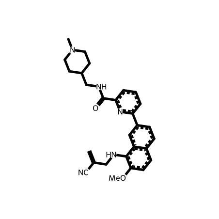 C=C(C#N)CNc1c(OC)ccc2ccc(-c3cccc(C(=O)NCC4CCN(C)CC4)n3)cc12